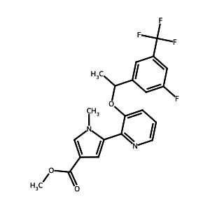 COC(=O)c1cc(-c2ncccc2OC(C)c2cc(F)cc(C(F)(F)F)c2)n(C)c1